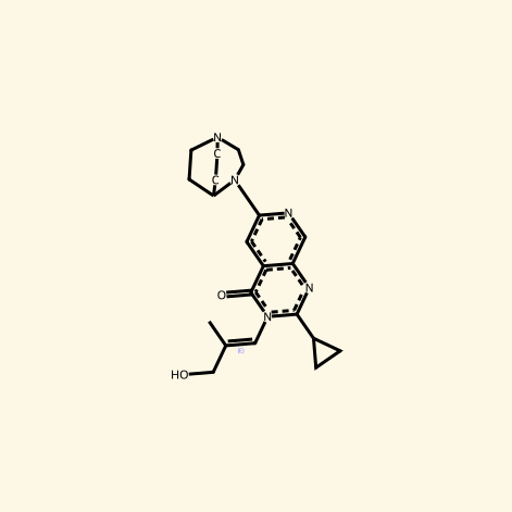 C/C(=C\n1c(C2CC2)nc2cnc(N3CCN4CCC3CC4)cc2c1=O)CO